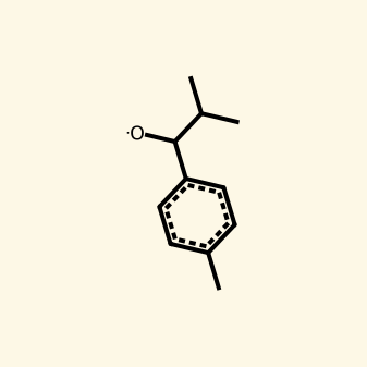 Cc1ccc(C([O])C(C)C)cc1